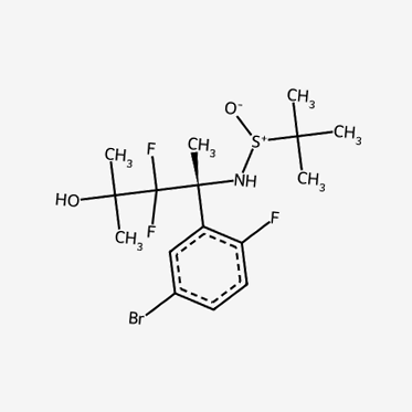 CC(C)(C)[S+]([O-])N[C@](C)(c1cc(Br)ccc1F)C(F)(F)C(C)(C)O